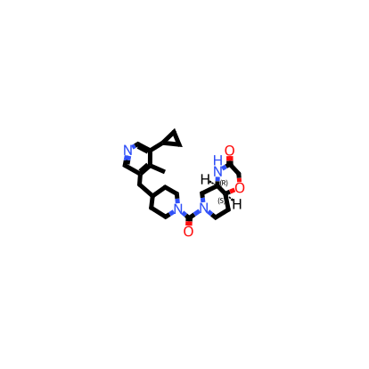 Cc1c(CC2CCN(C(=O)N3CC[C@@H]4OCC(=O)N[C@@H]4C3)CC2)cncc1C1CC1